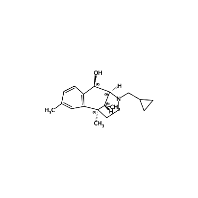 Cc1ccc2c(c1)[C@]1(C)CCN(CC3CC3)[C@H]([C@@H]2O)[C@@H]1C